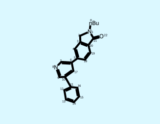 CCCCN1Cc2cc(-c3cncc(-c4ccccc4)c3)ccc2C1=O